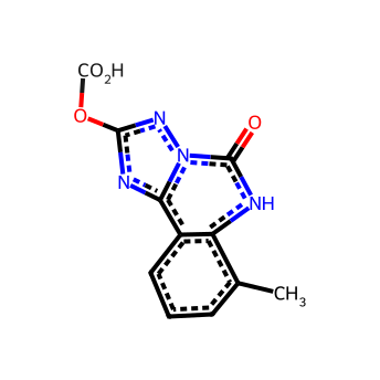 Cc1cccc2c1[nH]c(=O)n1nc(OC(=O)O)nc21